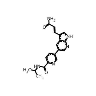 CC(C)NC(=O)c1ccc(-c2cnc3[nH]cc(C=CC(N)=O)c3c2)cn1